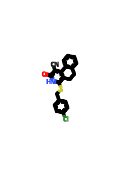 N#Cc1c2c(c(SCc3ccc(Cl)cc3)[nH]c1=O)CCc1ccccc1-2